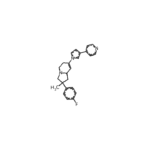 CC1(c2ccc(F)cc2)CC2C=C(n3ccc(-c4ccncc4)c3)CCN2C1